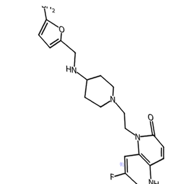 Bc1ccc(CNC2CCN(CCn3c(/C=C(/F)C=C)c(N)ccc3=O)CC2)o1